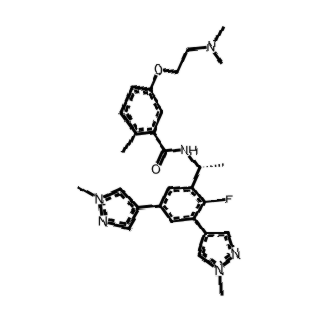 Cc1ccc(OCCN(C)C)cc1C(=O)N[C@H](C)c1cc(-c2cnn(C)c2)cc(-c2cnn(C)c2)c1F